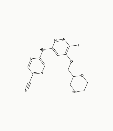 N#Cc1cnc(Nc2cc(OCC3CNCCO3)c(I)nn2)cn1